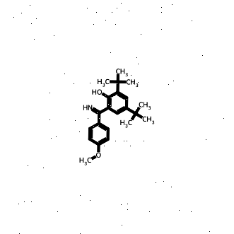 COc1ccc(C(=N)c2cc(C(C)(C)C)cc(C(C)(C)C)c2O)cc1